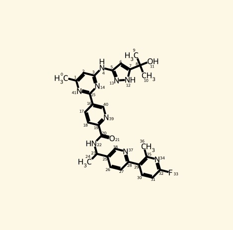 Cc1cc(Nc2cc(C(C)(C)O)[nH]n2)nc(-c2ccc(C(=O)NC(C)c3ccc(-c4ccc(F)nc4C)nc3)nc2)n1